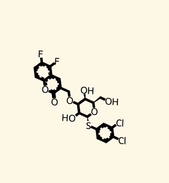 O=c1oc2ccc(F)c(F)c2cc1COC1C(O)[C@@H](Sc2ccc(Cl)c(Cl)c2)O[C@H](CO)[C@@H]1O